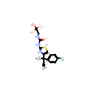 BC(B)(O)CNC(=O)Nc1nc(C(C)(C#C)c2ccc(Cl)cc2)cs1